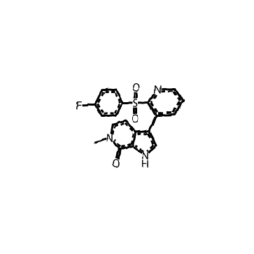 Cn1ccc2c(-c3cccnc3S(=O)(=O)c3ccc(F)cc3)c[nH]c2c1=O